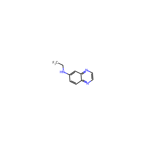 FC(F)(F)CNc1ccc2nccnc2c1